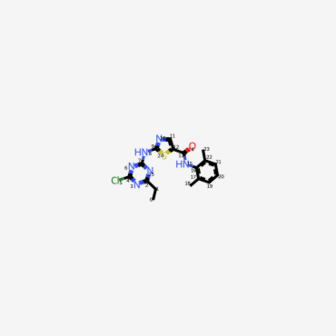 CCc1nc(Cl)nc(Nc2ncc(C(=O)Nc3c(C)cccc3C)s2)n1